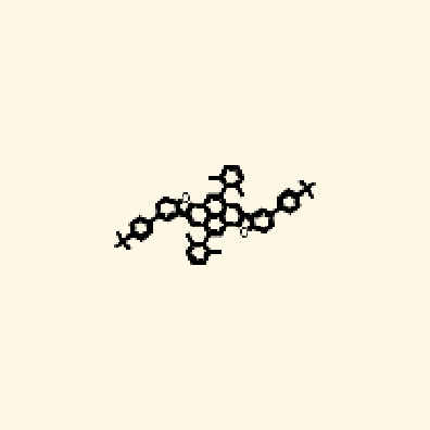 Cc1cccc(C)c1-c1cc2c3oc4ccc(-c5ccc(C(C)(C)C)cc5)cc4c3cc3c(-c4c(C)cccc4C)cc4c5oc6ccc(-c7ccc(C(C)(C)C)cc7)cc6c5cc1c4c32